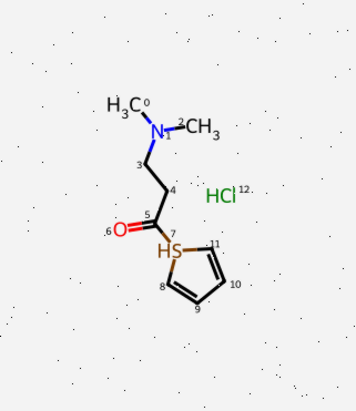 CN(C)CCC(=O)[SH]1C=CC=C1.Cl